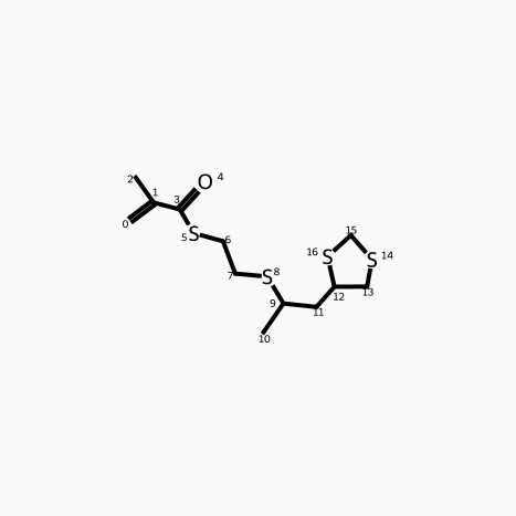 C=C(C)C(=O)SCCSC(C)CC1CSCS1